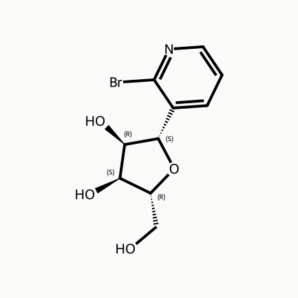 OC[C@H]1O[C@@H](c2cccnc2Br)[C@H](O)[C@@H]1O